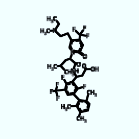 CCN(C)CCc1cn(C(CC(C)C)C(=O)NC(CC(=O)O)c2c(F)c(-c3c(C)ccc(C)c3C)cc(C(F)(F)F)c2F)c(=O)cc1C(F)(F)F